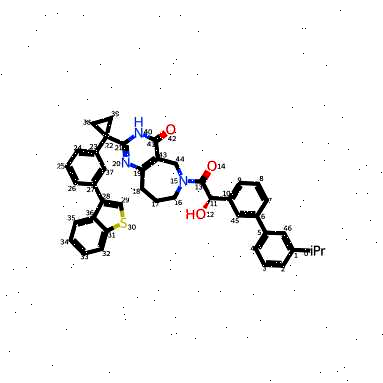 CC(C)c1cccc(-c2cccc([C@@H](O)C(=O)N3CCCc4nc(C5(c6cccc(-c7csc8ccccc78)c6)CC5)[nH]c(=O)c4C3)c2)c1